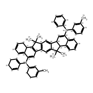 CC1=CCCC(N(C2=CCCC=C2)C2=CC3=C(C4CC=CC=C24)C(C)(C)c2cc4c(cc23)C(C)(C)C2c3ccccc3C(N(c3ccccc3)c3cccc(C)c3)=CC42)=C1